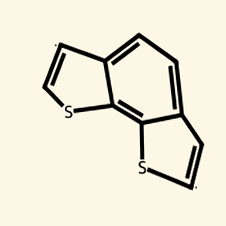 [c]1cc2ccc3[c]csc3c2s1